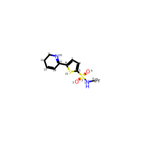 CC(C)NS(=O)(=O)c1ccc(C2=NCCC=C2)s1